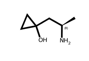 C[C@@H](N)CC1(O)CC1